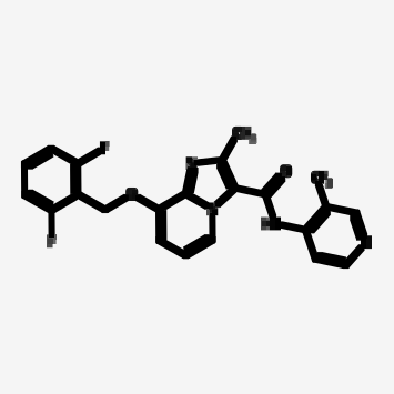 Cc1nc2c(OCc3c(F)cccc3F)cccn2c1C(=O)Nc1ccncc1C(F)(F)F